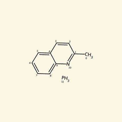 Cc1ccc2ccccc2n1.P